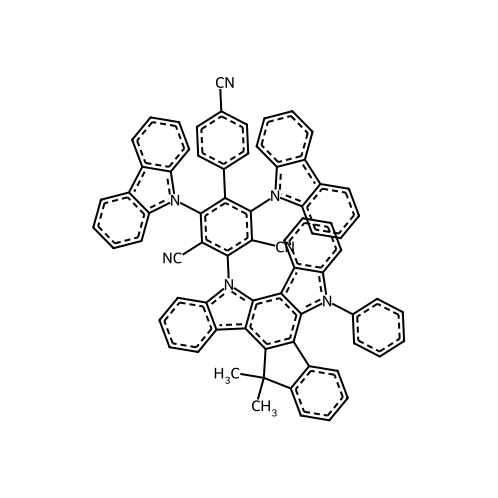 CC1(C)c2ccccc2-c2c1c1c3ccccc3n(-c3c(C#N)c(-n4c5ccccc5c5ccccc54)c(-c4ccc(C#N)cc4)c(-n4c5ccccc5c5ccccc54)c3C#N)c1c1c3ccccc3n(-c3ccccc3)c21